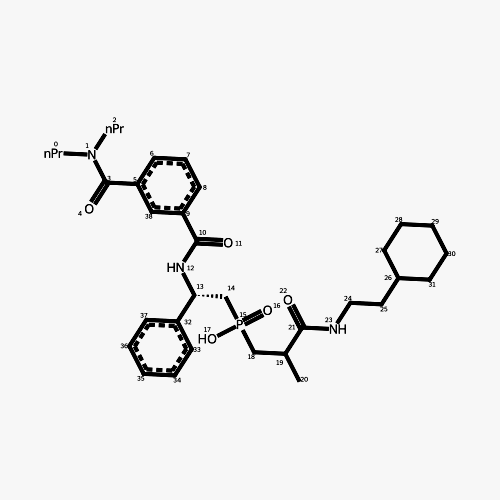 CCCN(CCC)C(=O)c1cccc(C(=O)N[C@H](CP(=O)(O)CC(C)C(=O)NCCC2CCCCC2)c2ccccc2)c1